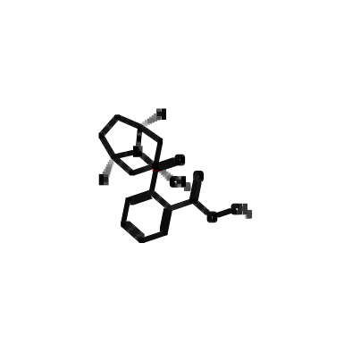 COC(=O)c1ccccc1C(=O)N1[C@@H]2CC[C@H]1C[C@H](C)C2